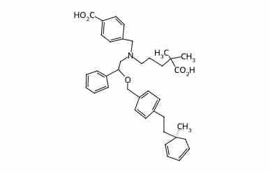 CC(C)(CCCN(Cc1ccc(C(=O)O)cc1)CC(OCc1ccc(CC[C@]2(C)C=CC=CC2)cc1)c1ccccc1)C(=O)O